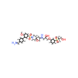 COc1ccc(S(=O)(=O)N2CCC3(CC2)CC(NCC(O)COc2cccc(S(=O)(=O)C(C)(C)CO)c2)CO3)cc1-c1ccc(CN)cc1